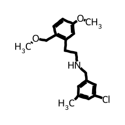 COCc1ccc(OC)cc1CCNCc1cc(C)cc(Cl)c1